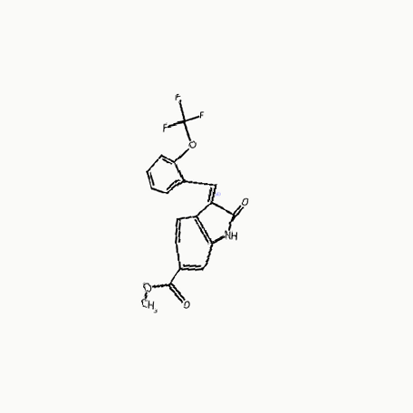 COC(=O)c1ccc2c(c1)NC(=O)/C2=C/c1ccccc1OC(F)(F)F